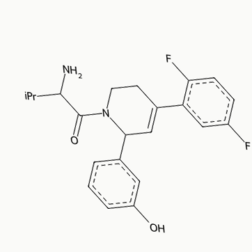 CC(C)C(N)C(=O)N1CCC(c2cc(F)ccc2F)=CC1c1cccc(O)c1